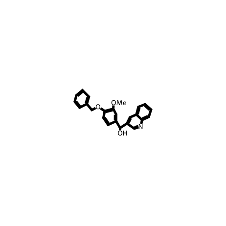 COc1cc(C(O)c2cnc3ccccc3c2)ccc1OCc1ccccc1